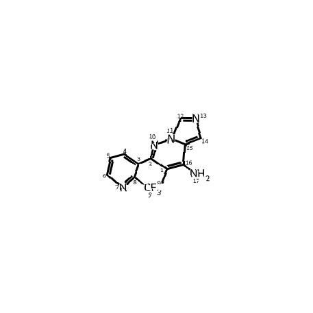 Cc1c(-c2cccnc2C(F)(F)F)nn2cncc2c1N